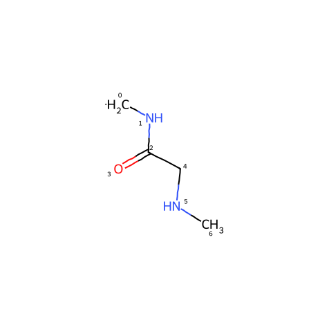 [CH2]NC(=O)CNC